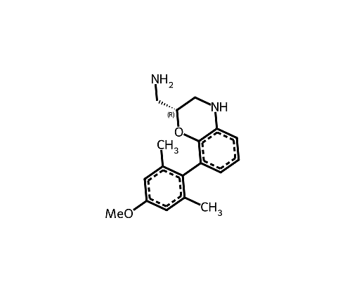 COc1cc(C)c(-c2cccc3c2O[C@H](CN)CN3)c(C)c1